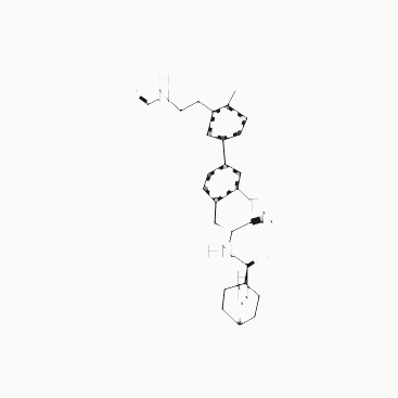 Cc1ccc(-c2ccc(C[C@@H](C#N)NC(=O)C34CCC(CC3)CN4)c(F)c2)cc1CCNC=O